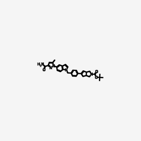 Cc1cc(C(N)=O)nn1-c1ccc2c(ccn2Cc2ccc(C3=CC4CN(C(=O)OC(C)(C)C)CC4C3)cc2)c1